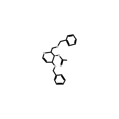 CC(=O)O[C@H]1C(OCc2ccccc2)C=COC1COCc1ccccc1